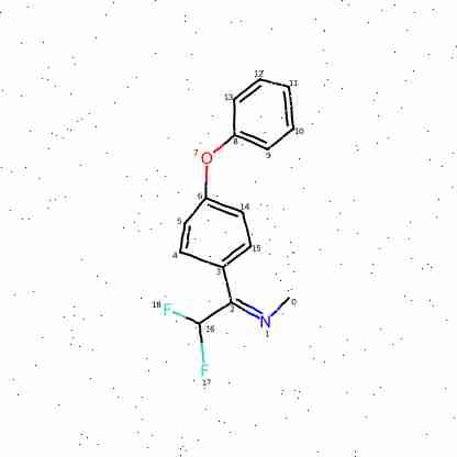 C/N=C(\c1ccc(Oc2ccccc2)cc1)C(F)F